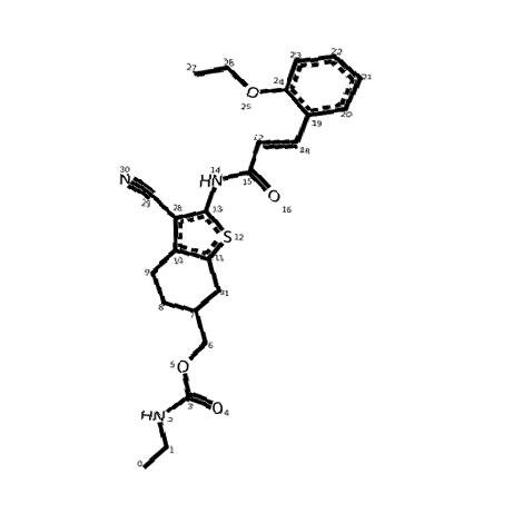 CCNC(=O)OCC1CCc2c(sc(NC(=O)C=Cc3ccccc3OCC)c2C#N)C1